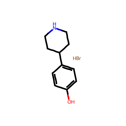 Br.Oc1ccc(C2CCNCC2)cc1